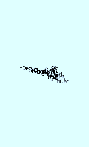 CCCCCCCCCCCCCCCC(=O)OCC(COCP(=O)(O)OCC[N+](C)(C)C)OC(=O)CN(C)c1ccc2cc(C(=O)CCCCCCCCCCC)ccc2c1